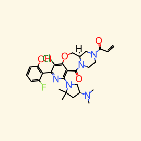 C=CC(=O)N1CCN2C(=O)c3c(N4C[C@@H](N(C)C)CC4(C)C)nc(-c4c(O)cccc4F)c(Cl)c3OC[C@H]2C1